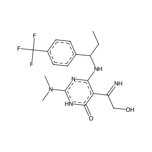 CCC(Nc1nc(N(C)C)[nH]c(=O)c1C(=N)CO)c1ccc(C(F)(F)F)cc1